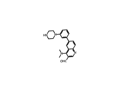 CN(C)c1c(C=O)cnc2ccc(-c3cccc(N4CCNCC4)c3)cc12